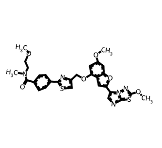 COCCN(C)C(=O)c1ccc(-c2nc(COc3cc(OC)cc4oc(-c5cnc6sc(OC)nn56)cc34)cs2)cc1